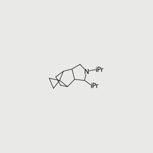 CC(C)C1C2C(CN1C(C)C)C1CCC2C12CC2